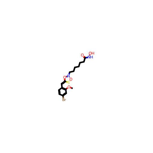 COc1cc(Br)ccc1C=C1ON(CCCCCCC(=O)NO)OS1